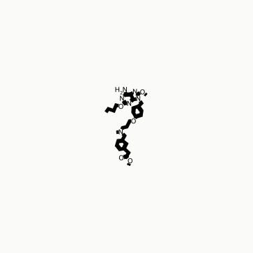 CCCCOc1nc(N)c2nc(OC)n(Cc3ccc(OCCCN(C)Cc4cccc(CC(=O)OC)c4)cc3)c2n1